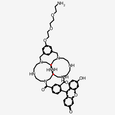 NCCOCCOCCOc1cc(CN2CCNCCNCCNCC2)cc(CN2CCNCCN(C(=O)c3ccc(-c4c5ccc(=O)cc-5oc5cc(O)ccc45)c(C(=O)O)c3)CCNCC2)c1